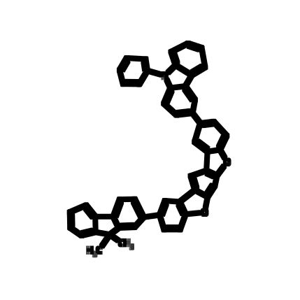 CC1(C)c2ccccc2-c2ccc(-c3ccc4oc5cc6oc7ccc(-c8ccc9c(c8)c8ccccc8n9-c8ccccc8)cc7c6cc5c4c3)cc21